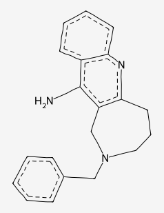 Nc1c2c(nc3ccccc13)CCCN(Cc1ccccc1)C2